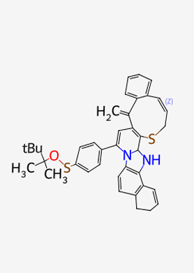 C=C1C2=C(SC/C=C\c3ccccc31)C1Nc3c(ccc4c3C=CCC4)N1C(c1ccc(SOC(C)(C)C(C)(C)C)cc1)=C2